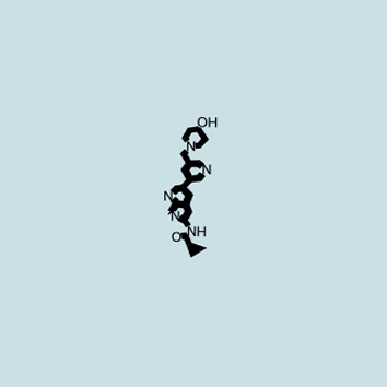 O=C(Nc1cc2cc(-c3cncc(CN4CCC(O)CC4)c3)cnc2cn1)C1CC1